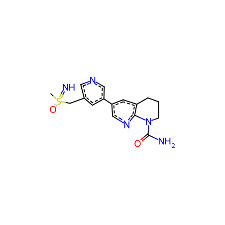 CS(=N)(=O)Cc1cncc(-c2cnc3c(c2)CCCN3C(N)=O)c1